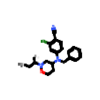 CCC(C)N1C[C@@H](N(Cc2ccccc2)c2ccc(C#N)c(Cl)c2)CCO1